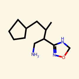 CC(CC1CCCC1)C(CN)C1=NOCN1